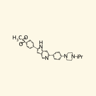 CC(C)N1CCN(c2ccc(-c3cc4[nH]c(-c5ccc(S(C)(=O)=O)cc5)cc4cn3)cc2)CC1